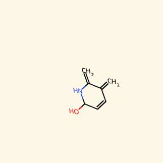 C=C1C=CC(O)NC1=C